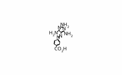 Nc1nc(N)c(N=Nc2ccc(C(=O)O)cc2)c(N)n1